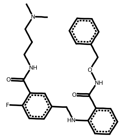 CN(C)CCCNC(=O)c1cc(CNc2ccccc2C(=O)NOCc2ccccc2)ccc1F